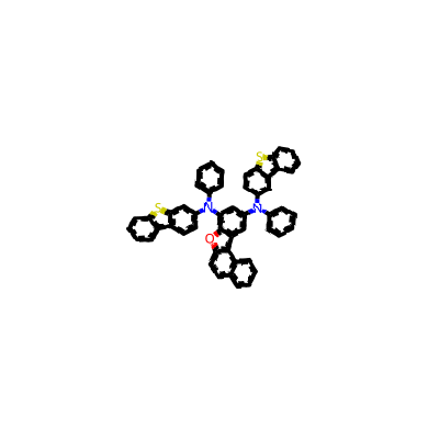 c1ccc(N(c2ccc3sc4ccccc4c3c2)c2cc(N(c3ccccc3)c3ccc4c(c3)sc3ccccc34)c3oc4ccc5ccccc5c4c3c2)cc1